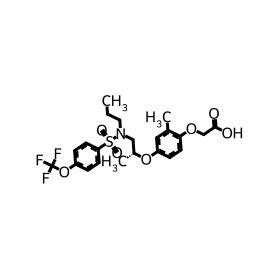 CCCN(C[C@@H](C)Oc1ccc(OCC(=O)O)c(C)c1)S(=O)(=O)c1ccc(OC(F)(F)F)cc1